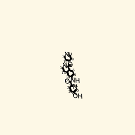 O=C(Nc1ccc2c(Oc3ccncc3)nccc2c1)c1ccc(O)cn1